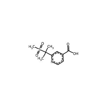 CC(C)(c1cc(C(=O)O)ccn1)S(C)(=O)=O